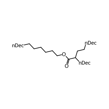 CCCCCCCCCCCCCCCCOC(=O)C(CCCCCCCCCC)CCCCCCCCCCCC